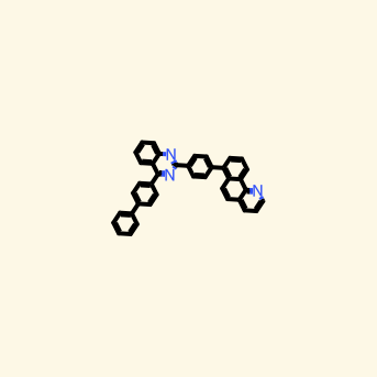 c1ccc(-c2ccc(-c3nc(-c4ccc(-c5cccc6c5ccc5cccnc56)cc4)nc4ccccc34)cc2)cc1